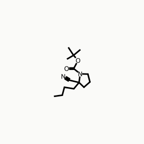 CCCCC1(C#N)CCCN1C(=O)OC(C)(C)C